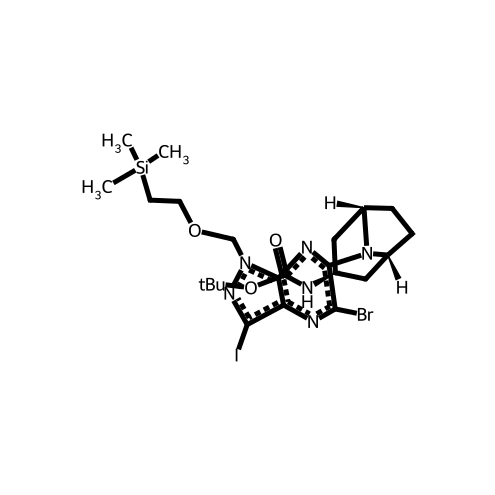 CC(C)(C)OC(=O)N[C@@H]1C[C@H]2CC[C@@H](C1)N2c1nc2c(nc1Br)c(I)nn2COCC[Si](C)(C)C